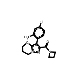 Cc1cc(Cl)ccc1-c1c(C(=O)N2CCC2)nn2c1OCCC2